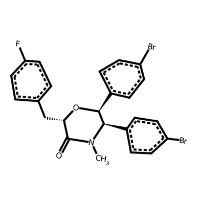 CN1C(=O)[C@H](Cc2ccc(F)cc2)O[C@@H](c2ccc(Br)cc2)[C@H]1c1ccc(Br)cc1